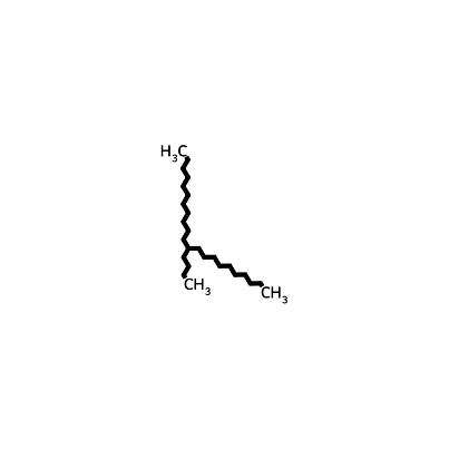 CCCCCCCCCCCC(CCCC)CCCCCCCCCC